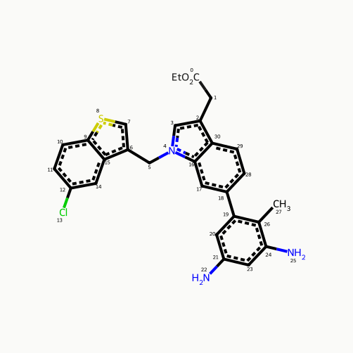 CCOC(=O)Cc1cn(Cc2csc3ccc(Cl)cc23)c2cc(-c3cc(N)cc(N)c3C)ccc12